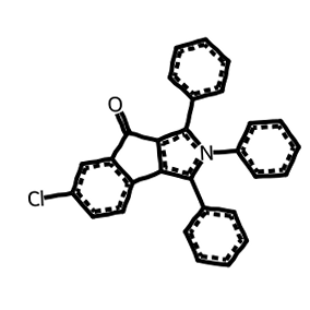 O=C1c2cc(Cl)ccc2-c2c1c(-c1ccccc1)n(-c1ccccc1)c2-c1ccccc1